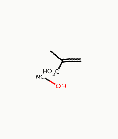 C=C(C)C(=O)O.N#CO